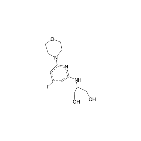 OCC(CO)Nc1cc(I)cc(N2CCOCC2)n1